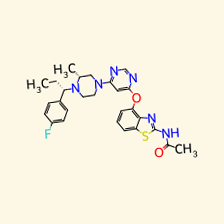 CC[C@@H](c1ccc(F)cc1)N1CCN(c2cc(Oc3cccc4sc(NC(C)=O)nc34)ncn2)C[C@H]1C